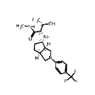 CNC(=O)[C@@H](N[C@H]1CC[C@@H]2CN(c3ccc(C(F)(F)F)cc3)C[C@@H]21)[C@H](C)O